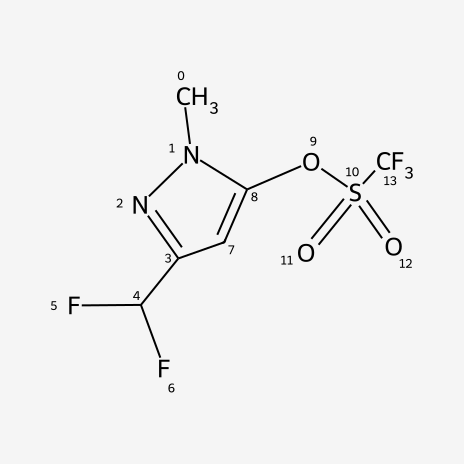 Cn1nc(C(F)F)cc1OS(=O)(=O)C(F)(F)F